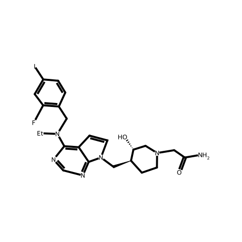 CCN(Cc1ccc(I)cc1F)c1ncnc2c1ccn2C[C@@H]1CCN(CC(N)=O)C[C@H]1O